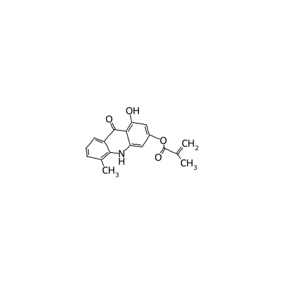 C=C(C)C(=O)Oc1cc(O)c2c(=O)c3cccc(C)c3[nH]c2c1